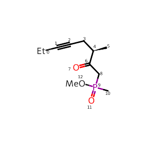 CCC#CC[C@@H](C)C(=O)CP(C)(=O)OC